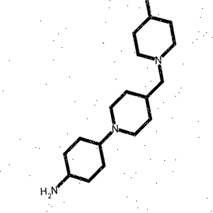 CC1CCN(CC2CCN(C3CCC(N)CC3)CC2)CC1